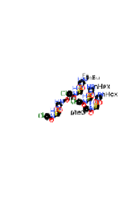 CCCCC(CC)CNC1CCCN(S(=O)(=O)c2ccc(CNC(=O)c3ccc(Cl)cc3)s2)CC1.CCCCCCNC1CCCN(S(=O)(=O)c2ccc(CNC(=O)c3ccc(Cl)cc3)s2)CC1.CCCCCCNC1CCCN(S(=O)(=O)c2ccc(CNC(=O)c3cccc(OC)c3)s2)CC1.CCCOCCNC1CCCN(S(=O)(=O)c2ccc(CNC(=O)c3ccc(Cl)cc3)s2)CC1